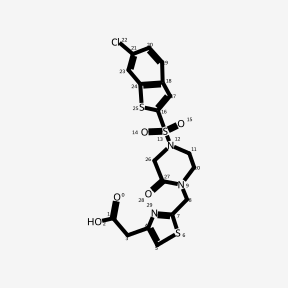 O=C(O)Cc1csc(CN2CCN(S(=O)(=O)c3cc4ccc(Cl)cc4s3)CC2=O)n1